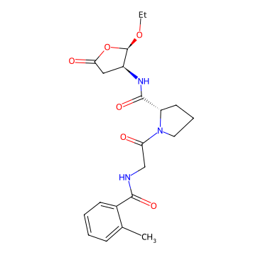 CCO[C@@H]1OC(=O)C[C@@H]1NC(=O)[C@@H]1CCCN1C(=O)CNC(=O)c1ccccc1C